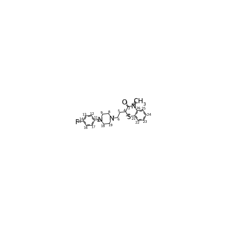 CN1C(=O)C(CCN2CCN(c3ccc(F)cc3)CC2)Sc2ccccc21